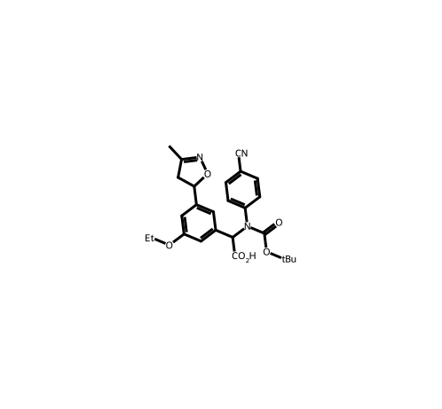 CCOc1cc(C2CC(C)=NO2)cc(C(C(=O)O)N(C(=O)OC(C)(C)C)c2ccc(C#N)cc2)c1